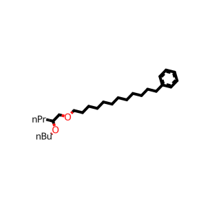 CCCCOC(CCC)COCCCCCCCCCCCCc1ccccc1